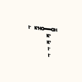 OO.[I-].[I-].[I-].[K+].[K+].[K+]